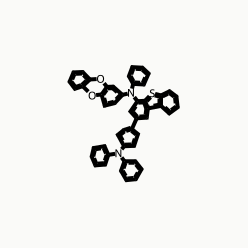 c1ccc(N(c2ccccc2)c2ccc(-c3cc(N(c4ccccc4)c4ccc5c(c4)Oc4ccccc4O5)c4sc5ccccc5c4c3)cc2)cc1